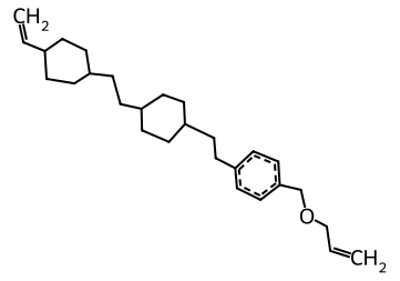 C=CCOCc1ccc(CCC2CCC(CCC3CCC(C=C)CC3)CC2)cc1